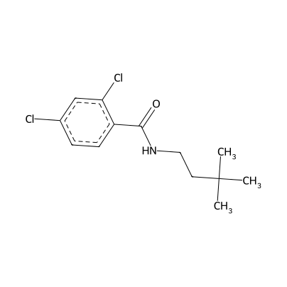 CC(C)(C)CCNC(=O)c1ccc(Cl)cc1Cl